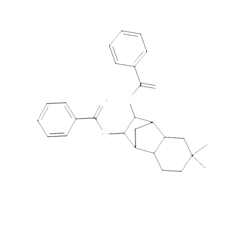 CC1(C)CCC2C(C1)C1CC2C(OC(=O)c2ccccc2)C1OC(=O)c1ccccc1